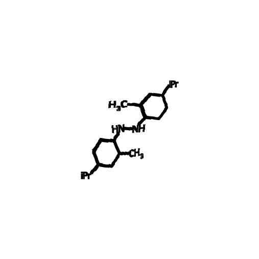 CC(C)C1CCC(NNC2CCC(C(C)C)CC2C)C(C)C1